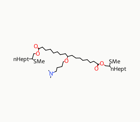 CCCCCCCC(COC(=O)CCCCCCCC(CCCCCCCC(=O)OCC(CCCCCCC)SC)OCCCCN(C)C)SC